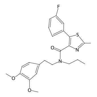 CCCN(CCc1ccc(OC)c(OC)c1)C(=O)c1nc(C)sc1-c1cccc(F)c1